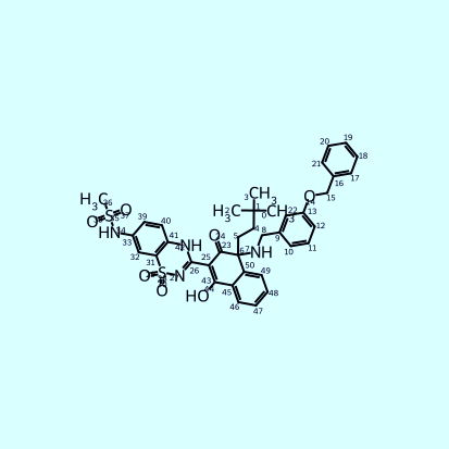 CC(C)(C)CCC1(NCc2cccc(OCc3ccccc3)c2)C(=O)C(C2=NS(=O)(=O)c3cc(NS(C)(=O)=O)ccc3N2)=C(O)c2ccccc21